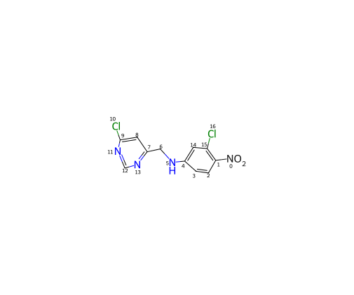 O=[N+]([O-])c1ccc(NCc2cc(Cl)ncn2)cc1Cl